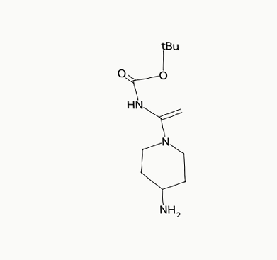 C=C(NC(=O)OC(C)(C)C)N1CCC(N)CC1